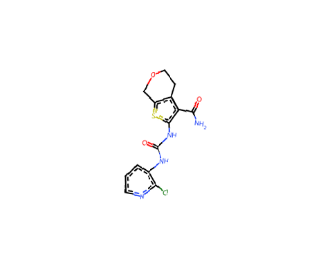 NC(=O)c1c(NC(=O)Nc2cccnc2Cl)sc2c1CCOC2